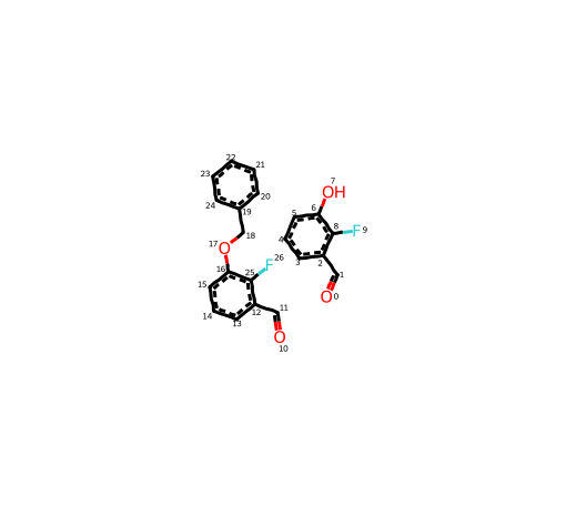 O=Cc1cccc(O)c1F.O=Cc1cccc(OCc2ccccc2)c1F